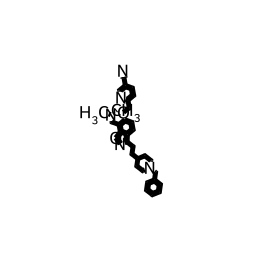 CN(C)Cc1c(OCc2ccc(C#N)cn2)ccc2c(CCC3CCN(Cc4ccccc4)CC3)noc12